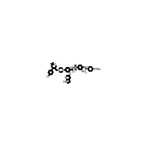 CO[C@H]1CC[C@@H](CNc2ccc(S(=O)(=O)NC(=O)c3ccc(N4CCN(CC5=C(c6ccc(Cl)cc6)CC(C)(C)OC5)CC4)cc3Oc3cnc4[nH]ccc4c3)cc2[N+](=O)[O-])CC1